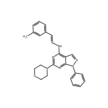 Cc1cccc(C=NNc2nc(N3CCOCC3)nc3c2cnn3-c2ccccc2)c1